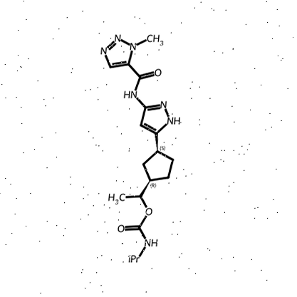 CC(C)NC(=O)OC(C)[C@@H]1CC[C@H](c2cc(NC(=O)c3cnnn3C)n[nH]2)C1